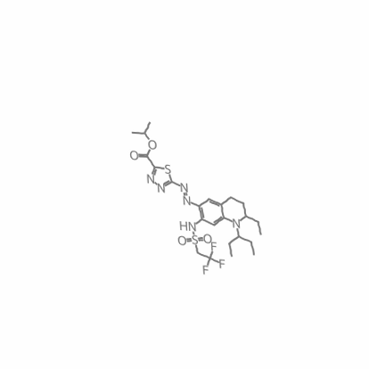 CCC(CC)N1c2cc(NS(=O)(=O)CC(F)(F)F)c(N=Nc3nnc(C(=O)OC(C)C)s3)cc2CCC1CC